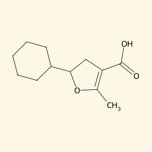 CC1=C(C(=O)O)CC(C2CCCCC2)O1